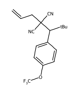 C=CCC(C#N)(C#N)C(c1ccc(OC(F)(F)F)cc1)C(C)(C)C